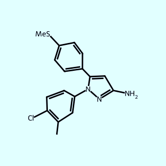 CSc1ccc(-c2cc(N)nn2-c2ccc(Cl)c(C)c2)cc1